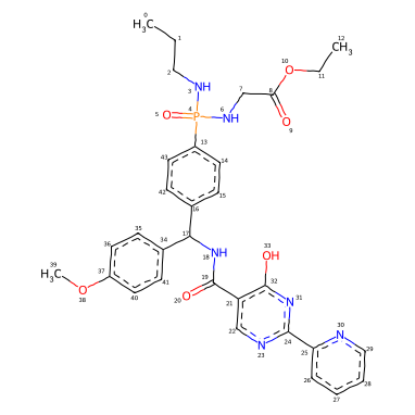 CCCNP(=O)(NCC(=O)OCC)c1ccc(C(NC(=O)c2cnc(-c3ccccn3)nc2O)c2ccc(OC)cc2)cc1